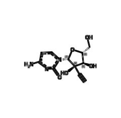 C#C[C@@]1(O)[C@H](O)[C@@H](CO)O[C@H]1n1ccc(N)nc1=O